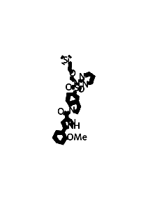 COc1ccccc1-c1cc(C(=O)N2CCc3cc(S(=O)(=O)N(COCC[Si](C)(C)C)c4ncccn4)ccc32)n[nH]1